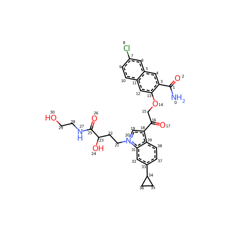 NC(=O)c1cc2cc(Cl)ccc2cc1OCC(=O)c1cn(CCC(O)C(=O)NCCO)c2cc(C3CC3)ccc12